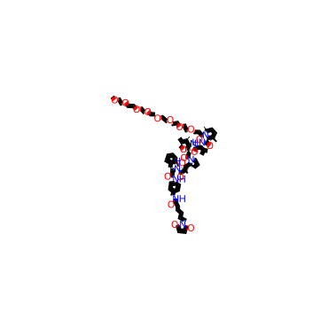 CC[C@H](C)[C@@H]([C@@H](CC(=O)N1CCC[C@H]1[C@H](OC)[C@@H](C)C(=O)N[C@@H](Cc1ccccc1)C(=O)Nc1ccc(CNC(=O)CCCCCN2C(=O)C=CC2=O)cc1)OC)N(C)C(=O)[C@@H](NC(=O)[C@@H]1[C@H](C)CC[C@@H](C)N1C(=O)CCOCCOCCOCCOCCOCCOCCOCCOC)C(C)C